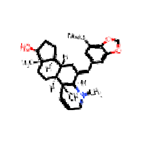 COc1cc(C=C2C[C@@H]3[C@H](CC[C@]4(C)[C@@H](O)CC[C@@H]34)[C@@]3(C)C=CCN(C)[C@H]23)cc2c1OCO2